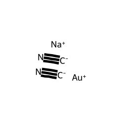 [Au+].[C-]#N.[C-]#N.[Na+]